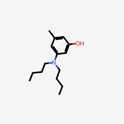 CCCCN(CCCC)c1cc(C)cc(O)c1